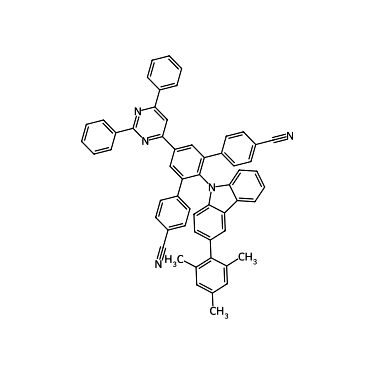 Cc1cc(C)c(-c2ccc3c(c2)c2ccccc2n3-c2c(-c3ccc(C#N)cc3)cc(-c3cc(-c4ccccc4)nc(-c4ccccc4)n3)cc2-c2ccc(C#N)cc2)c(C)c1